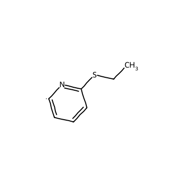 CCSc1ccc[c]n1